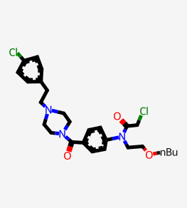 CCCCOCCN(C(=O)CCl)c1ccc(C(=O)N2CCN(CCc3ccc(Cl)cc3)CC2)cc1